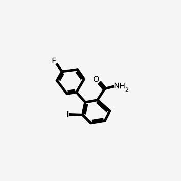 NC(=O)c1cccc(I)c1-c1ccc(F)cc1